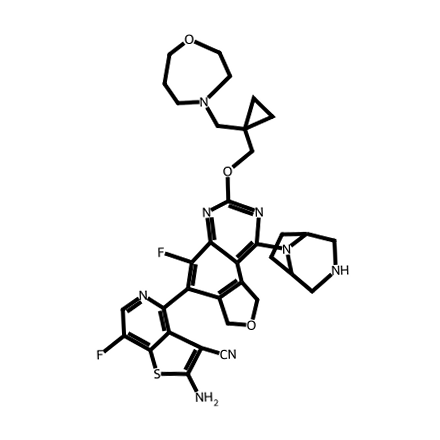 N#Cc1c(N)sc2c(F)cnc(-c3c4c(c5c(N6C7CCC6CNC7)nc(OCC6(CN7CCCOCC7)CC6)nc5c3F)COC4)c12